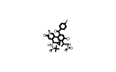 CC(N[SH](=O)=O)c1cc(-c2cn(C)c(=O)cc2[C@@H](N[S+]([O-])C(C)(C)C)C2CC2)c(C(=O)c2ccc(F)cc2)cc1Cl